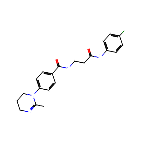 CCC1=NCCCN1c1ccc(C(=O)NCCC(=O)Nc2ccc(Cl)cc2)cc1